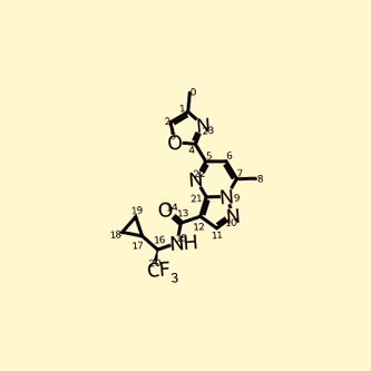 Cc1coc(-c2cc(C)n3ncc(C(=O)N[C@H](C4CC4)C(F)(F)F)c3n2)n1